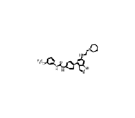 O=C(Nc1ccc(-c2cc(NCCN3CCCCC3)cc3[nH]ncc23)cc1)Nc1cccc(OC(F)(F)F)c1